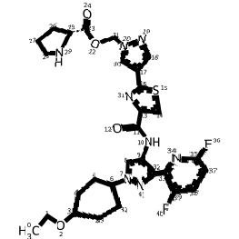 CCOC1CCC(n2cc(NC(=O)c3csc(-c4cnn(COC(=O)[C@H]5CCCN5)c4)n3)c(-c3nc(F)ccc3F)n2)CC1